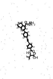 CC(C)C(NC(=O)c1ccc(C#Cc2ccc(-c3cc(C(=O)NN)c4cnccc4n3)cc2)cc1)C(=O)O